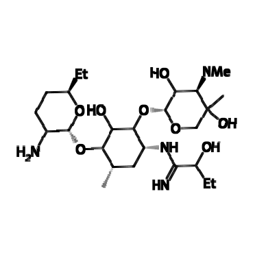 CCC(O)C(=N)N[C@@H]1C[C@H](C)C(O[C@H]2O[C@H](CC)CCC2N)C(O)C1O[C@H]1OCC(C)(O)[C@H](NC)C1O